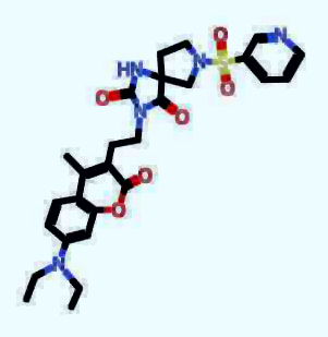 CCN(CC)c1ccc2c(C)c(CCN3C(=O)NC4(CCN(S(=O)(=O)c5cccnc5)C4)C3=O)c(=O)oc2c1